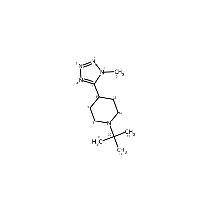 Cn1nnnc1C1CCN(C(C)(C)C)CC1